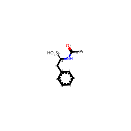 CC(C)C(=O)N[C@@H](Cc1ccccc1)S(=O)(=O)O